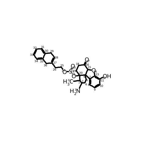 CC1C(N)CCC23c4cccc(O)c4OC2C(=O)CCC13OS(=O)OCCC1=CCc2ccccc2C1